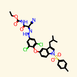 CCOC(=O)NC(=O)C(C#N)=NNc1cc(Cl)c(Oc2ccc3c(c2)c(CC(C)C)cn3S(=O)(=O)c2ccc(C)cc2)c(Cl)c1